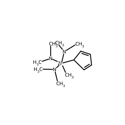 C[N](C)[Zr]([CH3])([CH]1C=CC=C1)([N](C)C)[N](C)C